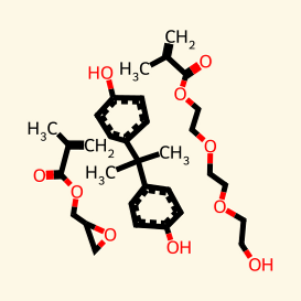 C=C(C)C(=O)OCC1CO1.C=C(C)C(=O)OCCOCCOCCO.CC(C)(c1ccc(O)cc1)c1ccc(O)cc1